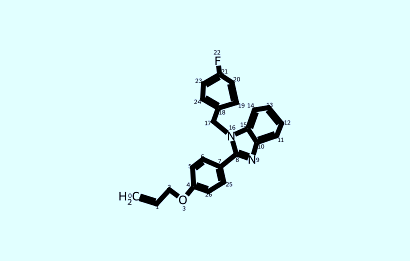 C=CCOc1ccc(-c2nc3ccccc3n2Cc2ccc(F)cc2)cc1